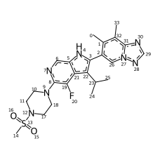 Cc1c(-c2[nH]c3cnc(N4CCN(S(C)(=O)=O)CC4)c(F)c3c2C(C)C)cn2ncnc2c1C